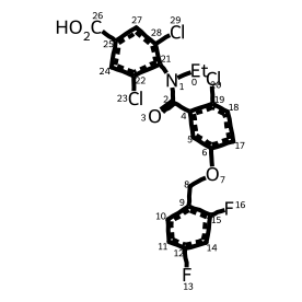 CCN(C(=O)c1cc(OCc2ccc(F)cc2F)ccc1Cl)c1c(Cl)cc(C(=O)O)cc1Cl